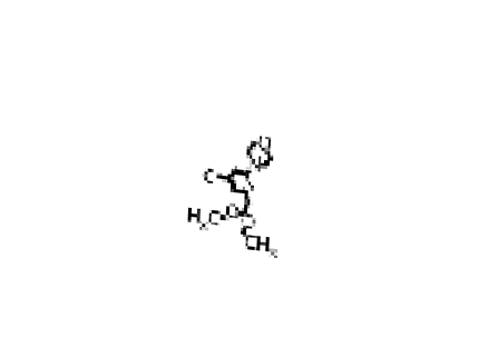 CCOC(Cc1cc(Cl)cc(N2CCOCC2)n1)OCC